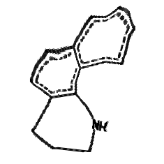 c1ccc2c3c(ccc2c1)CCCN3